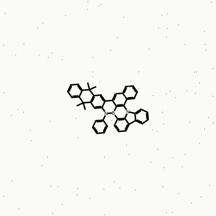 CC1(C)c2ccccc2C(C)(C)c2cc3c(cc21)-c1cc2ccccc2c2c1B(c1cccc4c5ccccc5n-2c14)N3c1ccccc1